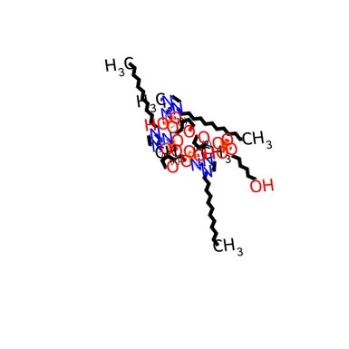 CCCCCCCCCCCCN1CCN(C)/C1=N/P(=O)(O)O[C@@H]1CCOC1COP(=O)(/N=C1\N(C)CCN1CCCCCCCCCCCC)O[C@@H]1CCO[C@@H]1COP(=O)(/N=C1\N(C)CCN1CCCCCCCCCCCC)O[C@@H]1CCO[C@@H]1COP(=O)(O)OCCCCCCO